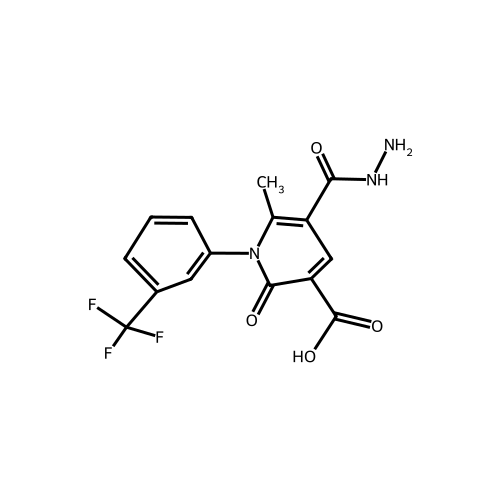 Cc1c(C(=O)NN)cc(C(=O)O)c(=O)n1-c1cccc(C(F)(F)F)c1